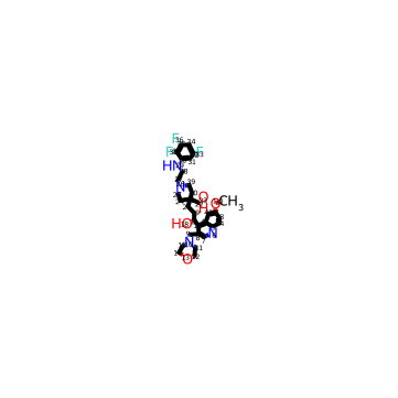 COc1ccc2ncc(CN3CCOCC3)c(C(O)CCC3(CO)CCN(CCNc4cc(F)cc(F)c4F)CC3)c2c1